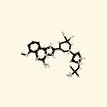 COc1cccc2c1nc(N)n1nc(C3CN(c4cnn(CC(C)(C)O)c4)CC(F)(F)C3)nc21